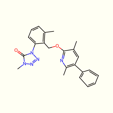 Cc1cc(-c2ccccc2)c(C)nc1OCc1c(C)cccc1-n1nnn(C)c1=O